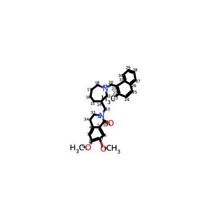 COc1cc2c(cc1OC)C(=O)N(CC1CCCCN(Cc3c(C)ccc4ccccc34)C1)CC2